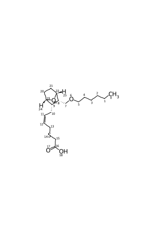 CCCCCCOC[C@@H]1[C@H](C/C=C\CSCC(=O)O)[C@@H]2CC[C@H]1O2